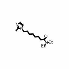 CCN(CC)C(=O)CCCCCCCn1c[c]nc1C